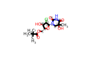 CC(C)(C)C(=O)OC[C@H]1O[C@@H](N2CC(C)(O)C(=O)NC2=O)[C@H](Cl)[C@@H]1O